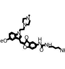 COc1ccc2c(c1)c(C=C1Oc3ccc(NC(=O)NCCCCN)cc3C1=O)cn2CCN1CCN(C)CC1